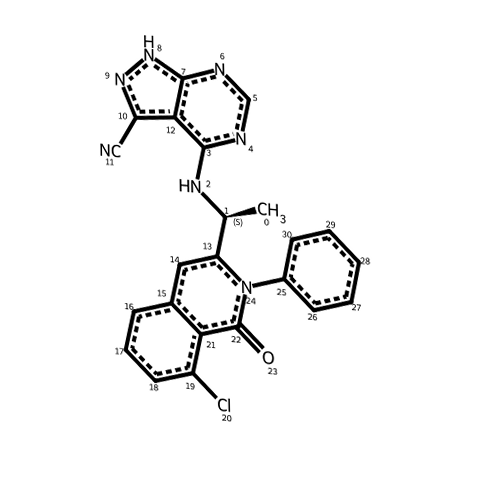 C[C@H](Nc1ncnc2[nH]nc(C#N)c12)c1cc2cccc(Cl)c2c(=O)n1-c1ccccc1